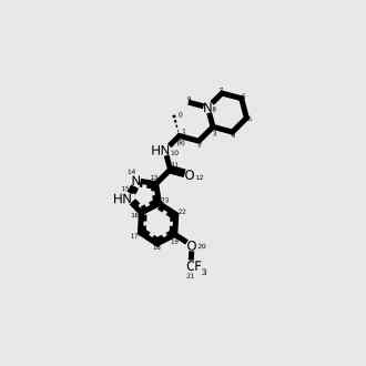 C[C@H](CC1CCCCN1C)NC(=O)c1n[nH]c2ccc(OC(F)(F)F)cc12